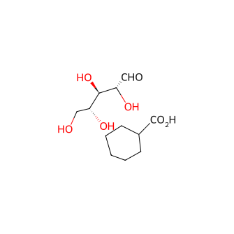 O=C(O)C1CCCCC1.O=C[C@H](O)[C@H](O)[C@H](O)CO